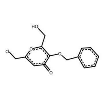 O=c1cc(CCl)oc(CO)c1OCc1ccccc1